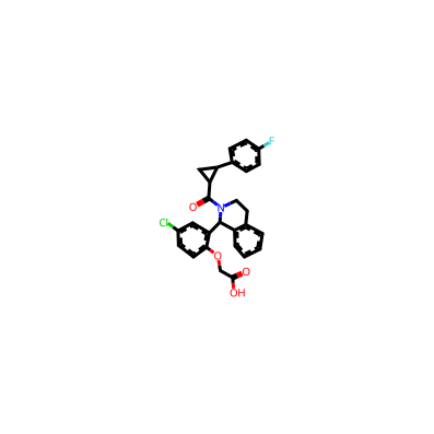 O=C(O)COc1ccc(Cl)cc1C1c2ccccc2CCN1C(=O)C1CC1c1ccc(F)cc1